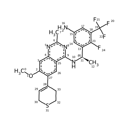 COc1cc2nc(C)nc(N[C@H](C)c3cc(N)cc(C(F)(F)F)c3F)c2cc1C1=CCSCC1